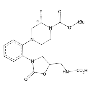 CC(C)(C)OC(=O)N1CCN(c2ccccc2N2CC(CNC(=O)O)OC2=O)C[C@@H]1F